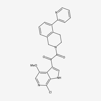 COc1cnc(Cl)c2[nH]cc(C(=O)C(=O)N3CCc4c(cccc4-c4ccccn4)C3)c12